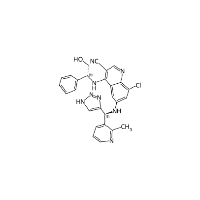 Cc1ncccc1[C@H](Nc1cc(Cl)c2ncc(C#N)c(N[C@@H](CO)c3ccccc3)c2c1)c1c[nH]nn1